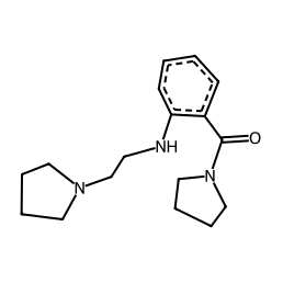 O=C(c1ccccc1NCCN1CCCC1)N1CCCC1